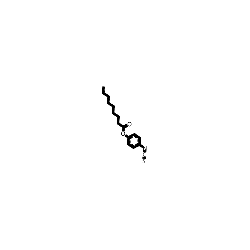 CCCCCCCCC(=O)Oc1ccc(N=C=S)cc1